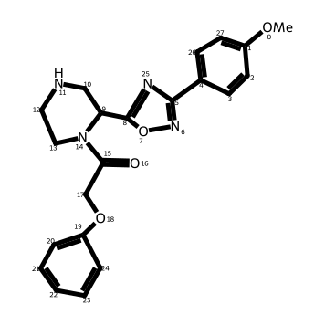 COc1ccc(-c2noc(C3CNCCN3C(=O)COc3ccccc3)n2)cc1